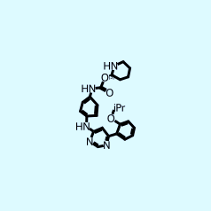 CC(C)Oc1ccccc1-c1cc(Nc2ccc(NC(=O)O[C@H]3CCCCN3)cc2)ncn1